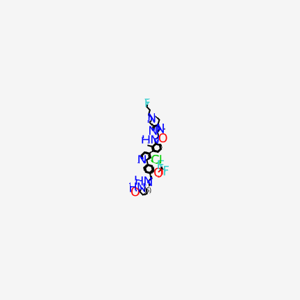 Cc1c(NC(=O)c2nc3c(n2C)CCN(CCCF)C3)cccc1-c1ccnc(-c2ccc(CNC[C@@H]3CCC(=O)N3)c(OC(F)F)c2)c1Cl